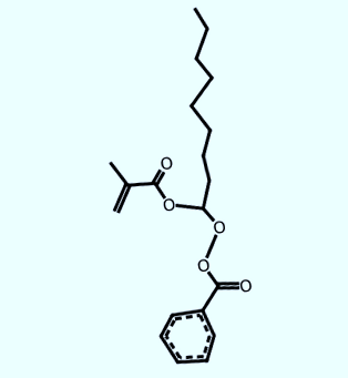 C=C(C)C(=O)OC(CCCCCCCC)OOC(=O)c1ccccc1